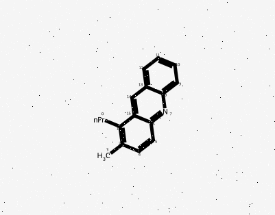 CCCc1c(C)ccc2nc3ccccc3cc12